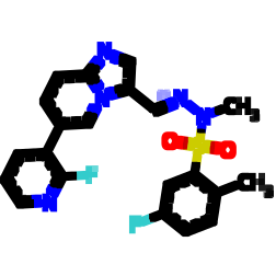 Cc1ccc(F)cc1S(=O)(=O)N(C)/N=C/c1cnc2ccc(-c3cccnc3F)cn12